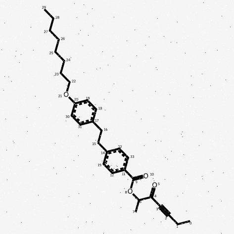 CCC#CC(=O)C(C)OC(=O)c1ccc(CCc2ccc(OCCCCCCCC)cc2)cc1